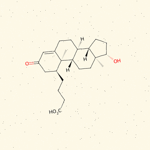 C[C@]12CC[C@H]3[C@@H](CCC4=CC(=O)C[C@H](CCCC(=O)O)[C@@]43C)[C@@H]1CC[C@@H]2O